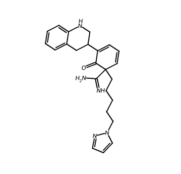 N=C(N)C1(CCCCCn2cccn2)C=CC=C(C2CNc3ccccc3C2)C1=O